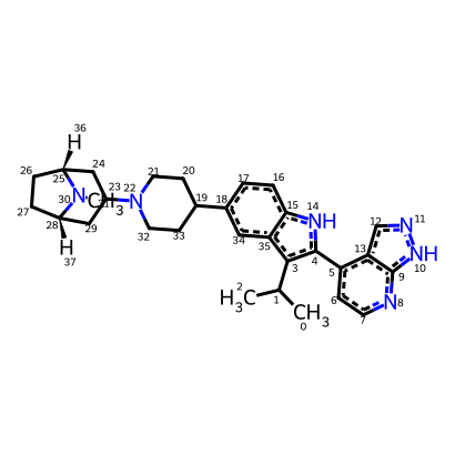 CC(C)c1c(-c2ccnc3[nH]ncc23)[nH]c2ccc(C3CCN(C4C[C@H]5CC[C@@H](C4)N5C)CC3)cc12